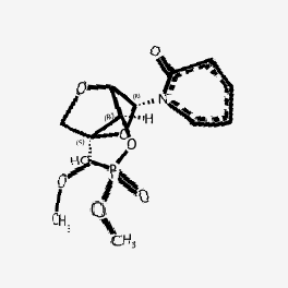 COC[C@@]12COC([C@H](n3ccccc3=O)O1)[C@H]2OP(=O)(O)OC